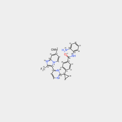 COc1ccn2c(-c3ccnc(C4(c5ccc(C(=O)Nc6ccccc6N)cc5)CC4)n3)c(C(F)(F)F)nc2c1